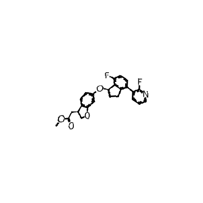 COC(=O)C[C@@H]1COc2cc(O[C@@H]3CCc4c(-c5cccnc5F)ccc(F)c43)ccc21